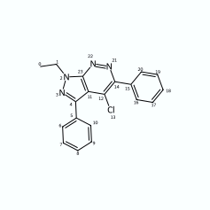 CCn1nc(-c2ccccc2)c2c(Cl)c(-c3ccccc3)nnc21